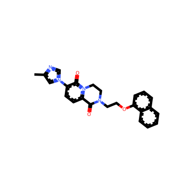 Cc1cn(-c2ccc3n(c2=O)CCN(CCOc2cccc4ccccc24)C3=O)cn1